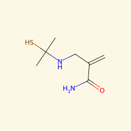 C=C(CNC(C)(C)S)C(N)=O